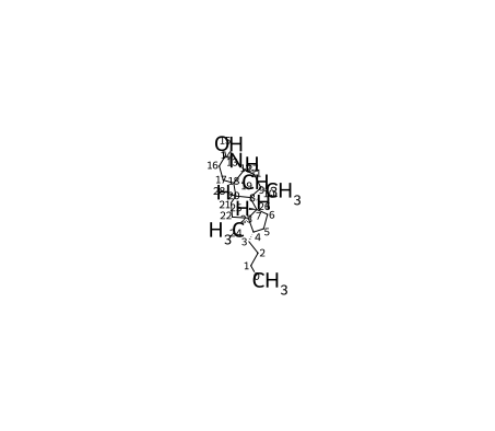 CCCC[C@H]1CC[C@H]2[C@@H]3[C@@H](C)C[C@H]4NC(=O)CC[C@]4(C)[C@H]3CC[C@]12C